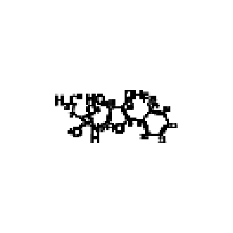 CCS(=O)(=O)Nc1oc(-c2ccccc2F)c(O)c1O